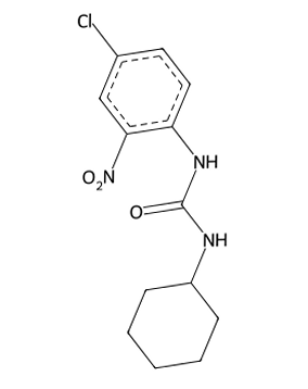 O=C(Nc1ccc(Cl)cc1[N+](=O)[O-])NC1CCCCC1